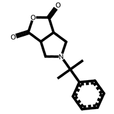 CC(C)(c1ccccc1)N1CC2C(=O)OC(=O)C2C1